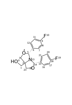 OCC12CO[C@H](c3ccc(F)cc3)N1[C@H](c1ccc(F)cc1)OC2